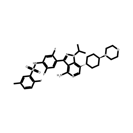 Cc1ccc(F)c(S(=O)(=O)Nc2cc(F)c(-c3nn(C(C)C)c4c3c(N)ncc4[C@H]3CC[C@H](N4CCOCC4)CC3)cc2F)c1